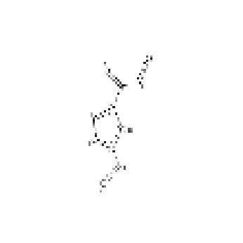 O=CC(=O)c1ccc(C=O)o1